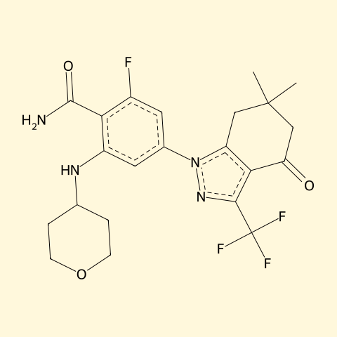 CC1(C)CC(=O)c2c(C(F)(F)F)nn(-c3cc(F)c(C(N)=O)c(NC4CCOCC4)c3)c2C1